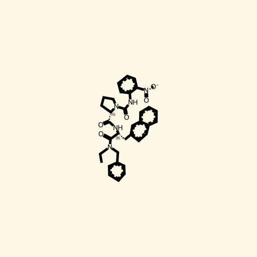 CCN(Cc1ccccc1)C(=O)[C@@H](Cc1ccc2ccccc2c1)NC(=O)[C@@H]1CCCN1C(=O)Nc1ccccc1[N+](=O)[O-]